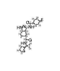 O=C(Nc1n[nH]c2ccc(C(=O)NC3(c4cccs4)CC3)cc12)c1ccc(F)cc1